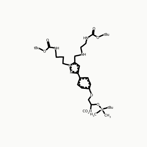 CC(C)(C)OC(=O)NCCCn1nc(-c2ccc(OCC(O[Si](C)(C)C(C)(C)C)C(=O)O)cc2)cc1CNCCNC(=O)OC(C)(C)C